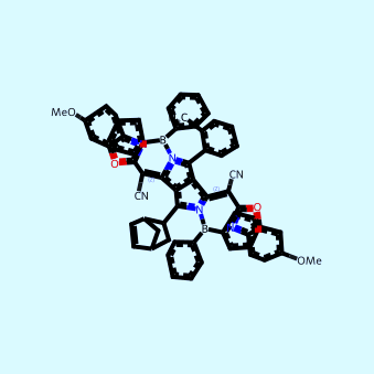 COc1ccc2nc(/C(C#N)=c3/c4c(C5CC6C=CC5C6)n(B(c5ccccc5)c5ccccc5)/c(=C(/C#N)c5nc6ccc(OC)cc6o5)c4c(-c4ccccc4C)n3B(c3ccccc3)c3ccccc3)oc2c1